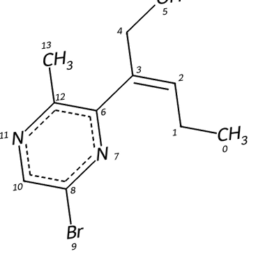 CC/C=C(/CO)c1nc(Br)cnc1C